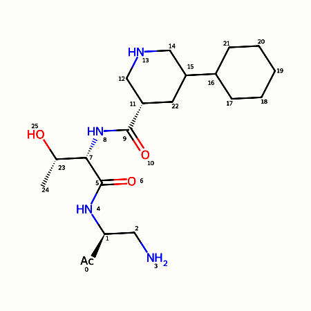 CC(=O)[C@H](CN)NC(=O)[C@@H](NC(=O)[C@@H]1CNCC(C2CCCCC2)C1)[C@H](C)O